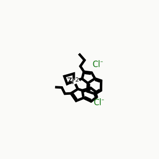 CCCC1=Cc2ccccc2[CH]1[Zr+2]1([CH]2C(CCC)=Cc3ccccc32)[CH2]C[CH2]1.[Cl-].[Cl-]